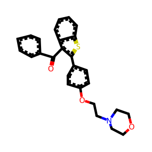 O=C(c1ccccc1)c1c(-c2ccc(OCCN3CCOCC3)cc2)sc2ccccc12